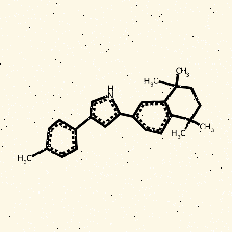 Cc1ccc(-c2c[nH]c(-c3ccc4c(c3)C(C)(C)CCC4(C)C)c2)cc1